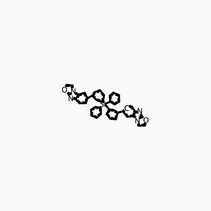 c1ccc([Si](c2ccccc2)(c2cccc(-c3ccc4nc5occn5c4c3)c2)c2cccc(-c3ccc4nc5occn5c4c3)c2)cc1